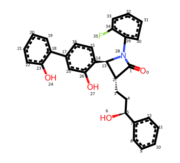 O=C1[C@H](CC[C@H](O)c2ccccc2)[C@@H](c2ccc(-c3ccccc3O)cc2O)N1c1ccccc1F